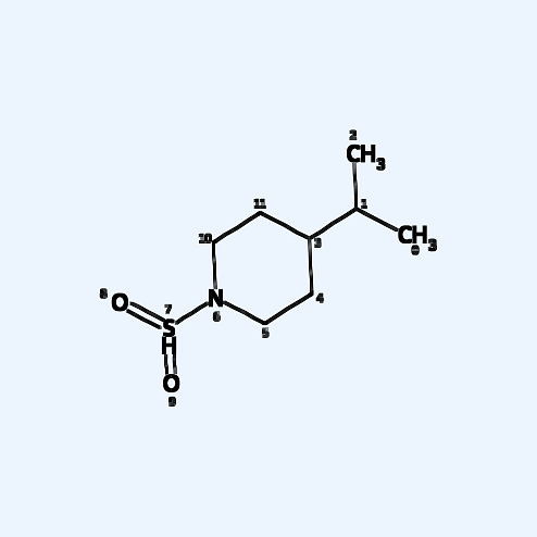 CC(C)C1CCN([SH](=O)=O)CC1